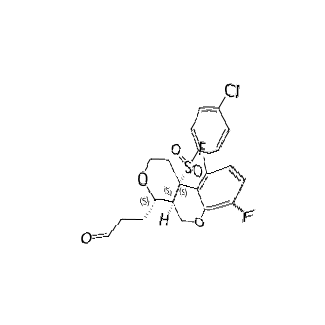 O=CCC[C@@H]1OCC[C@@]2(S(=O)(=O)c3ccc(Cl)cc3)c3c(F)ccc(F)c3OC[C@@H]12